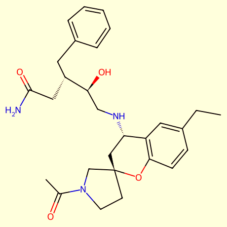 CCc1ccc2c(c1)[C@@H](NC[C@H](O)[C@H](CC(N)=O)Cc1ccccc1)C[C@]1(CCN(C(C)=O)C1)O2